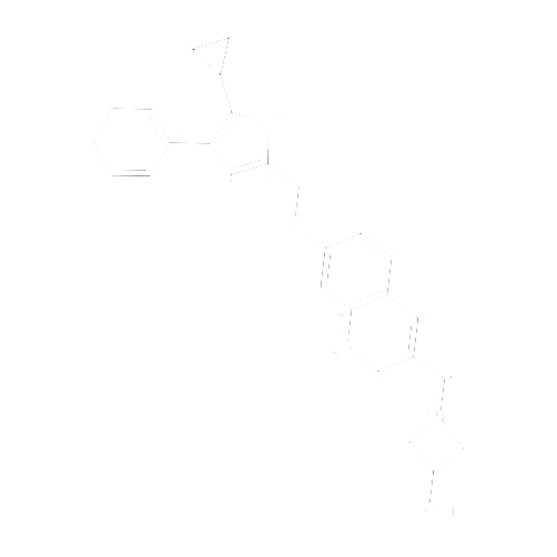 O=C(O)C1CN(CC2=Cc3ccc(OCc4cc(C5=CCCC=C5)c(C5CC5)s4)cc3OC2)C1